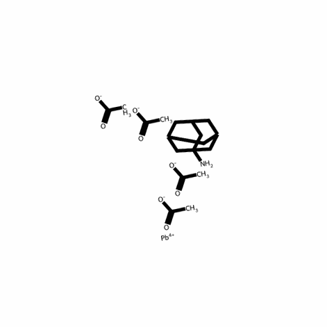 CC(=O)[O-].CC(=O)[O-].CC(=O)[O-].CC(=O)[O-].NC12CC3CC(CC(C3)C1)C2.[Pb+4]